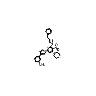 Cc1cccc(-c2ccn(-c3cc(N4CCOCC4)c([N+](=O)[O-])c(NCCCc4ccccn4)n3)n2)c1